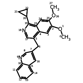 COc1cc2c(Cc3cnc4ccccc4c3)cnc(C3CC3)c2cc1OC